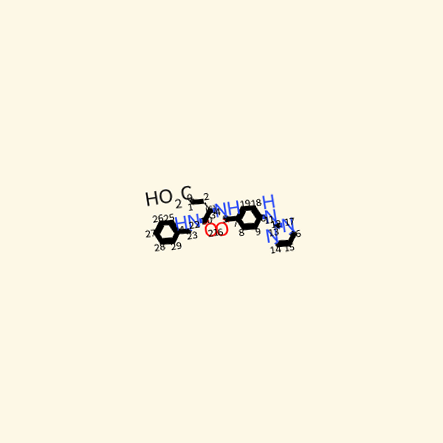 O=C(O)CC[C@H](NC(=O)c1ccc(Nc2ncccn2)cc1)C(=O)NCc1ccccc1